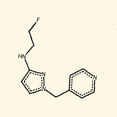 FCCNc1ccn(Cc2ccncc2)n1